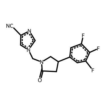 N#Cc1cn(CN2CC(c3cc(F)c(F)c(F)c3)CC2=O)cn1